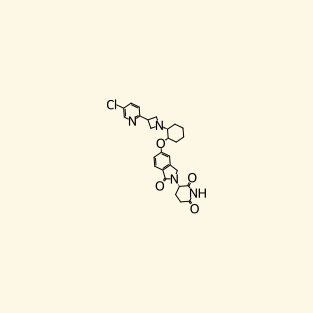 O=C1CC[C@H](N2Cc3cc(O[C@@H]4CCCC[C@@H]4N4CC(c5ccc(Cl)cn5)C4)ccc3C2=O)C(=O)N1